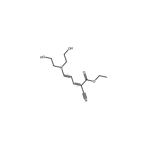 CCOC(=O)/C(C#N)=C\C=C\N(CCO)CCO